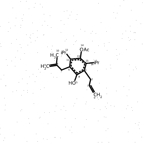 C=CCc1c(O)c(CC(=C)C)c(C(C)C)c(OC(C)=O)c1C(C)C